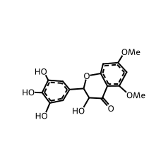 COc1cc(OC)c2c(c1)OC(c1cc(O)c(O)c(O)c1)C(O)C2=O